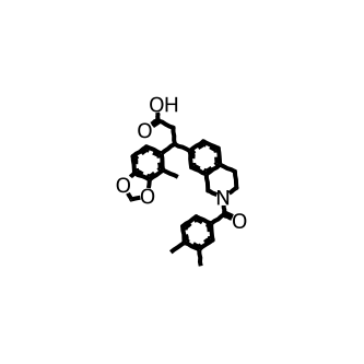 Cc1ccc(C(=O)N2CCc3ccc(C(CC(=O)O)c4ccc5c(c4C)OCO5)cc3C2)cc1C